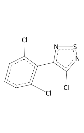 Clc1cccc(Cl)c1-c1nsnc1Cl